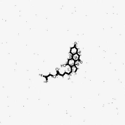 C[C@H](CCC(=O)OCC(F)F)[C@H]1CC[C@H]2[C@@H]3C(=O)C[C@@H]4CC(=O)CC[C@]4(C)[C@H]3CC(O)[C@]12C